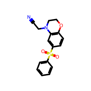 N#CCN1CCOc2ccc(S(=O)(=O)c3ccccc3)cc21